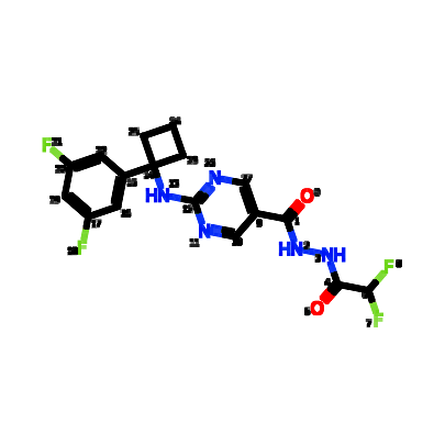 O=C(NNC(=O)C(F)F)c1cnc(NC2(c3cc(F)cc(F)c3)CCC2)nc1